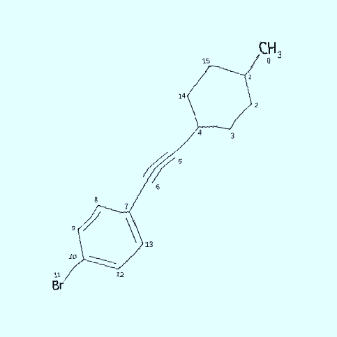 CC1CCC(C#Cc2ccc(Br)cc2)CC1